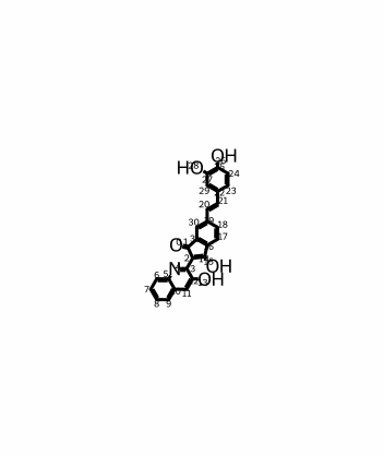 O=C1C(c2nc3ccccc3cc2O)=C(O)c2ccc(/C=C/c3ccc(O)c(O)c3)cc21